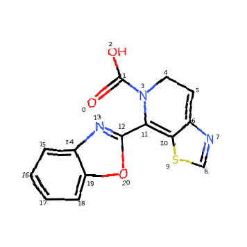 O=C(O)N1CC=c2ncsc2=C1c1nc2ccccc2o1